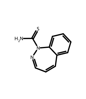 NC(=S)N1N=CC=Cc2ccccc21